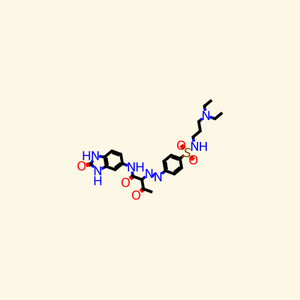 CCN(CC)CCCNS(=O)(=O)c1ccc(/N=N/C(C(C)=O)C(=O)Nc2ccc3[nH]c(=O)[nH]c3c2)cc1